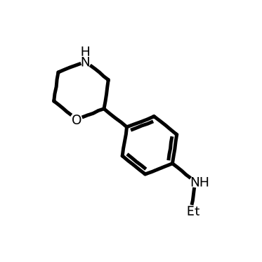 CCNc1ccc(C2CNCCO2)cc1